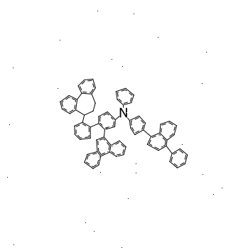 c1ccc(-c2ccc(-c3ccc(N(c4ccccc4)c4ccc(-c5ccccc5C5CCc6ccccc6-c6ccccc65)c(-c5cc6ccccc6c6ccccc56)c4)cc3)c3ccccc23)cc1